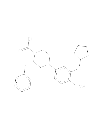 CCC(=O)N1CCN(c2ccc(OC)c(OC3CCCC3)c2)C[C@@H]1Cc1ccccc1